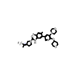 C/C(=C1\CCN(C(=O)Nc2cc(-c3cnc(OC4CCOCC4)c(N4CCOCC4)c3)c(C)cc2F)C1)C(F)(F)F